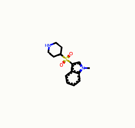 Cn1cc(S(=O)(=O)C2CCNCC2)c2ccccc21